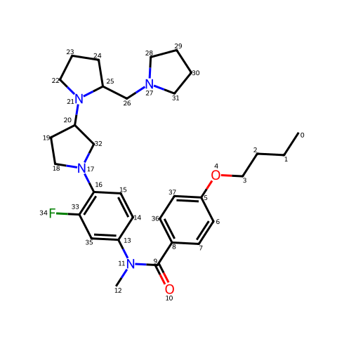 CCCCOc1ccc(C(=O)N(C)c2ccc(N3CCC(N4CCCC4CN4CCCC4)C3)c(F)c2)cc1